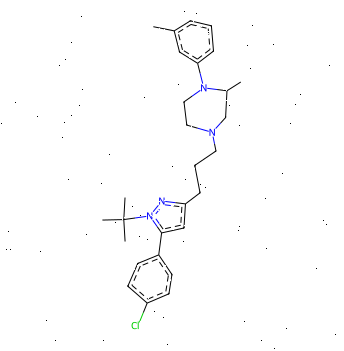 Cc1cccc(N2CCN(CCCc3cc(-c4ccc(Cl)cc4)n(C(C)(C)C)n3)CC2C)c1